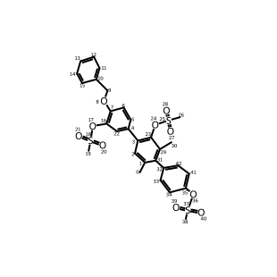 Cc1cc(-c2ccc(OCc3ccccc3)c(OS(C)(=O)=O)c2)c(OS(C)(=O)=O)c(C)c1-c1ccc(OS(C)(=O)=O)cc1